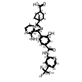 Nc1nccn2c(C34CCC(C(=O)O)(CC3)CC4)nc(-c3ccc(C(=O)Nc4cc(C(F)(F)F)ccn4)cc3O)c12